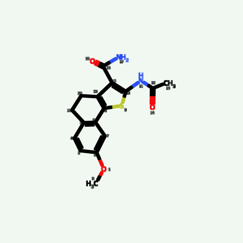 COc1ccc2c(c1)-c1sc(NC(C)=O)c(C(N)=O)c1CC2